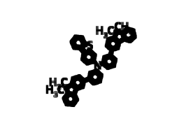 CC1(C)c2ccccc2-c2cc(-c3cccc(N(c4cccc(-c5ccc6c(c5)-c5ccccc5C6(C)C)c4)c4ccc5c(c4)sc4ccccc45)c3)ccc21